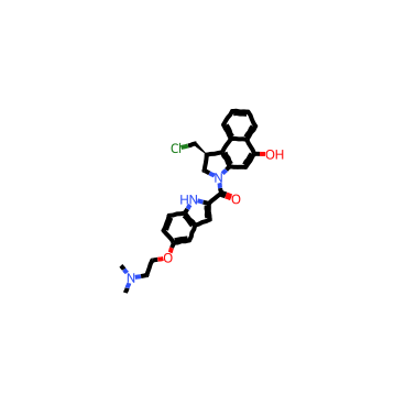 CN(C)CCOc1ccc2[nH]c(C(=O)N3C[C@@H](CCl)c4c3cc(O)c3ccccc43)cc2c1